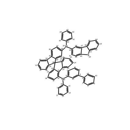 c1ccc(-c2cccc(N(c3ccccc3)c3cccc4c3-c3ccccc3C43c4ccccc4-c4ccc(N(c5ccccc5)c5ccc6sc7ccccc7c6c5)cc43)c2)cc1